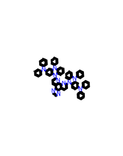 c1ccc(N(c2ccccc2)c2ccc3c(c2)N(c2ccccc2)c2ccccc2N3c2ccc3c4nccnc4c4ccc(N5c6ccccc6N(c6ccccc6)c6cc(N(c7ccccc7)c7ccccc7)ccc65)nc4c3n2)cc1